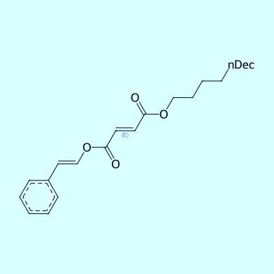 CCCCCCCCCCCCCCOC(=O)/C=C/C(=O)OC=Cc1ccccc1